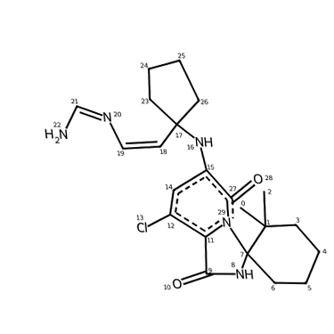 CC1(C)CCCCC12NC(=O)c1c(Cl)cc(NC3(/C=C\N=C/N)CCCC3)c(=O)n12